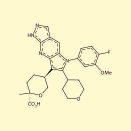 COc1cc(-n2c(C3CCOCC3)c([C@@H]3CC[C@@](C)(C(=O)O)OC3)c3nc4[nH]ncc4cc32)ccc1F